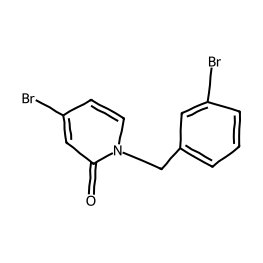 O=c1cc(Br)ccn1Cc1cccc(Br)c1